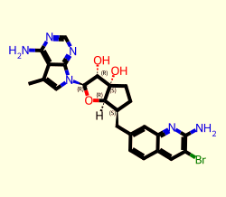 Cc1cn([C@@H]2O[C@@H]3[C@H](Cc4ccc5cc(Br)c(N)nc5c4)CC[C@]3(O)[C@H]2O)c2ncnc(N)c12